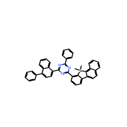 C[Si]1(C)c2c(-c3nc(-c4ccccc4)nc(-c4ccc(-c5ccccc5)c5ccccc45)n3)cccc2-c2ccc3ccccc3c21